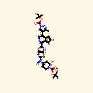 Cc1nn(C(=O)OC(C)(C)C)cc1-c1cnc(-c2nc3sc(N(C)[C@@H]4CCN(C(=O)OC(C)(C)C)[C@@H](C)C4)nc3s2)c2c1C=CC2